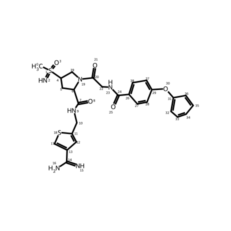 CS(=N)(=O)C1CC(C(=O)NCc2cc(C(=N)N)cs2)N(C(=O)CNC(=O)c2ccc(Oc3ccccc3)cc2)C1